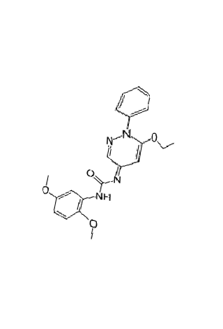 CCOc1cc(=NC(=O)Nc2cc(OC)ccc2OC)cnn1-c1ccccc1